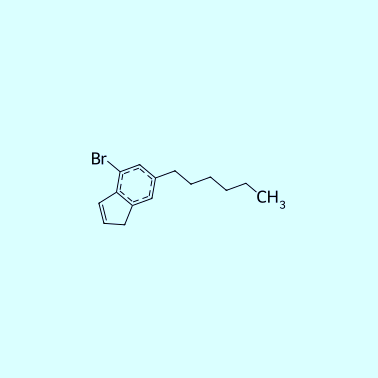 CCCCCCc1cc(Br)c2c(c1)CC=C2